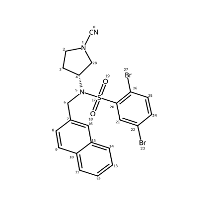 N#CN1CC[C@@H](N(Cc2ccc3ccccc3c2)S(=O)(=O)c2cc(Br)ccc2Br)C1